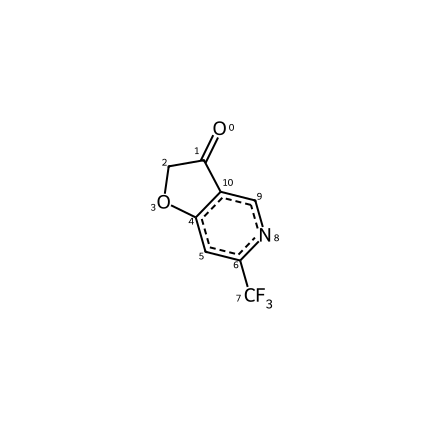 O=C1COc2cc(C(F)(F)F)ncc21